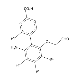 CC(C)c1cc(C(=O)O)ccc1-c1c(N)c(C(C)C)c(C(C)C)c(C(C)C)c1OCC=O